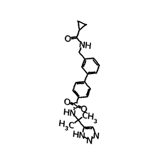 CC(C)(NS(=O)(=O)c1ccc(-c2cccc(CNC(=O)C3CC3)c2)cc1)c1cnn[nH]1